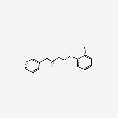 Clc1ccccc1OCCNCc1ccccc1